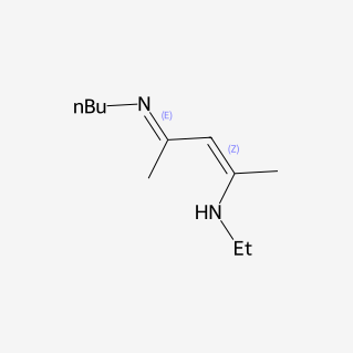 CCCC/N=C(C)/C=C(/C)NCC